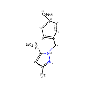 CCOC(=O)c1cc(CC)nn1Cc1ccc(OC)cc1